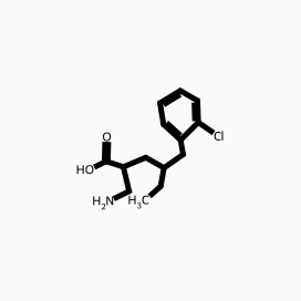 CCC(Cc1ccccc1Cl)CC(CN)C(=O)O